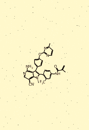 C=C(C)C(=O)Nc1ccc(-c2c(-c3ccc(Oc4nccc(C)n4)cc3)c3c(N)ncc(C#N)c3n2C)c(C(F)(F)F)c1